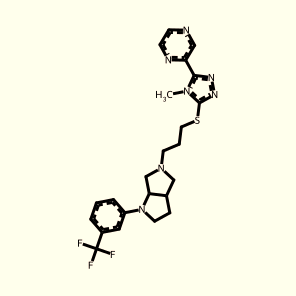 Cn1c(SCCCN2CC3CCN(c4cccc(C(F)(F)F)c4)C3C2)nnc1-c1cnccn1